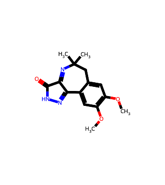 COc1cc2c(cc1OC)C1=NNC(=O)C1=NC(C)(C)C2